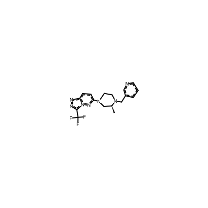 C[C@H]1CN(c2ccc3nnc(C(F)(F)F)n3n2)CCN1Cc1cccnc1